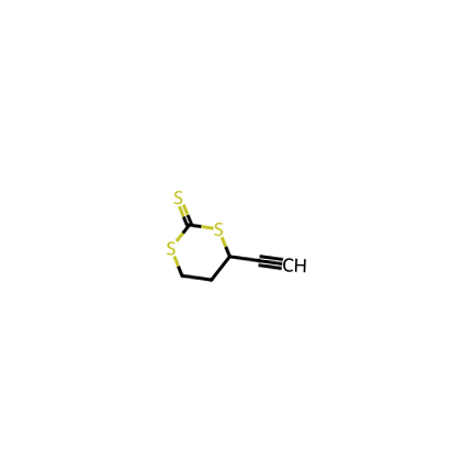 C#CC1CCSC(=S)S1